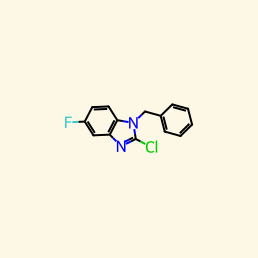 Fc1ccc2c(c1)nc(Cl)n2Cc1ccccc1